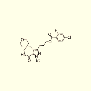 CCn1nc(CCCOC(=O)c2ccc(Cl)cc2F)c2c1C(=O)NCC1(CCOCC1)C2